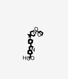 O=C(O)c1ccc2cc(-c3ccc([C@@H]4CC45CCN(C(=O)[C@H]4CCCO4)CC5)cc3)cnc2c1